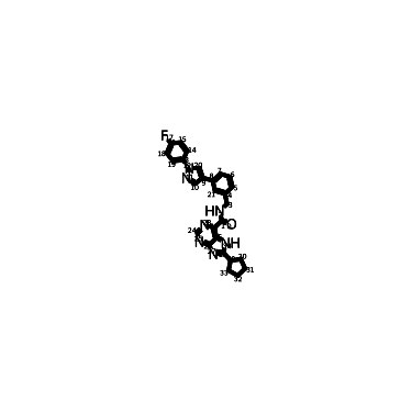 O=C(NCc1cccc(-c2cnn(-c3ccc(F)cc3)c2)c1)c1ncnc2nc(C3CCCC3)[nH]c12